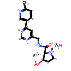 CC(C)(C)[C@@]1(C(=O)NCc2cc(-c3ccc(C(F)(F)F)nc3)ncn2)[C@H](O)CCN1C(=O)O